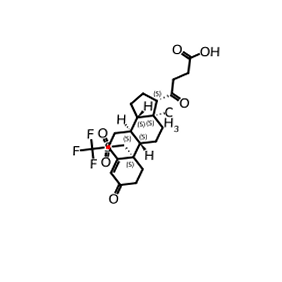 C[C@]12CC[C@H]3[C@@H](CCC4=CC(=O)CC[C@@]43CS(=O)(=O)C(F)(F)F)[C@@H]1CC[C@@H]2C(=O)CCC(=O)O